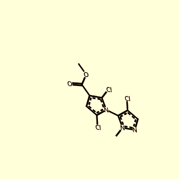 COC(=O)c1cc(Cl)n(-c2c(Cl)cnn2C)c1Cl